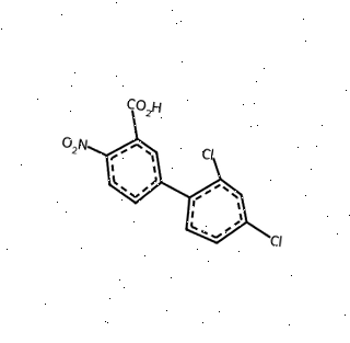 O=C(O)c1cc(-c2ccc(Cl)cc2Cl)ccc1[N+](=O)[O-]